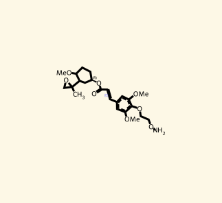 COc1cc(/C=C/C(=O)O[C@@H]2CCC(OC)C(C3(C)CO3)C2)cc(OC)c1OCCON